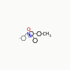 Cc1ccc(-c2cc(=O)n(CC3C[CH]CCC3)nc2-c2ccccc2)cc1